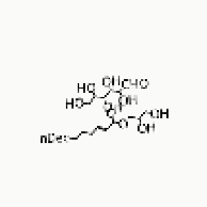 CCCCCCCCCCCCC/C=C/C(=O)OCC(O)CO.O=C[C@H](O)[C@@H](O)[C@H](O)[C@H](O)CO